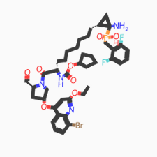 CCOc1cc(OC2C[C@@H](C=O)N(C(=O)[C@H](CCCCCCC[C@@H]3C[C@]3(N)P(=O)(O)Cc3c(F)cccc3F)NC(=O)OC3CCCC3)C2)c2cccc(Br)c2n1